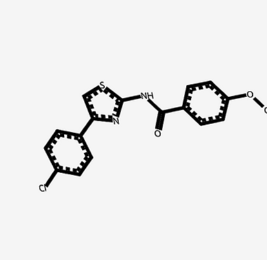 O=C(Nc1nc(-c2ccc(Cl)cc2)cs1)c1ccc(OC(F)(F)F)cc1